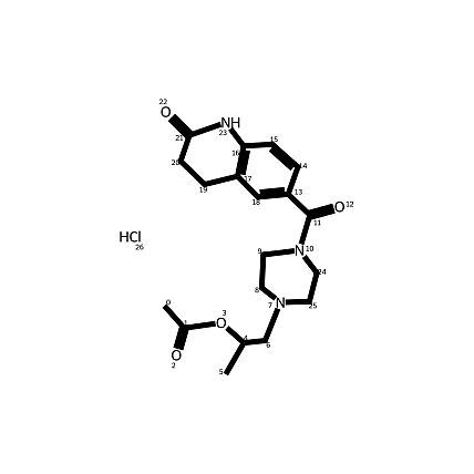 CC(=O)OC(C)CN1CCN(C(=O)c2ccc3c(c2)CCC(=O)N3)CC1.Cl